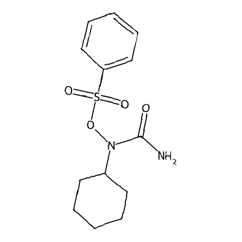 NC(=O)N(OS(=O)(=O)c1ccccc1)C1CCCCC1